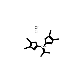 CC1=C(C)C[C]([Zr+2]([C]2=CC(C)=C(C)C2)=[C](C)C)=C1.[Cl-].[Cl-]